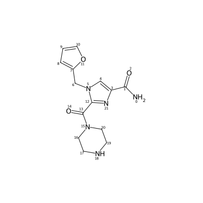 NC(=O)c1cn(Cc2ccco2)c(C(=O)N2CCNCC2)n1